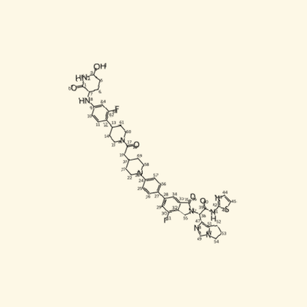 O=C1NC(O)CCC1Nc1ccc(C2CCN(C(=O)CC3CCN(c4ccc(-c5cc(F)c6c(c5)C(=O)N(C(C(=O)Nc5nccs5)c5ncn7c5CCC7)C6)cc4)CC3)CC2)c(F)c1